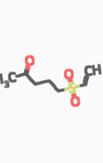 C=CS(=O)(=O)CCCC(C)=O